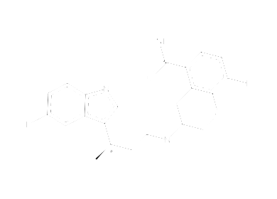 C[C@H](CCNC1COc2c(F)ccc(C(N)=O)c2C1)c1c[nH]c2ccc(F)cc12